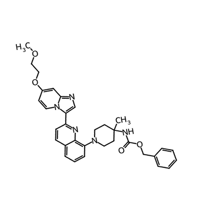 COCCOc1ccn2c(-c3ccc4cccc(N5CCC(C)(NC(=O)OCc6ccccc6)CC5)c4n3)cnc2c1